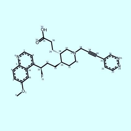 COc1ccc2nccc([C@H](F)CC[C@@H]3CCN(CC#Cc4ccnnc4)C[C@H]3CCC(=O)O)c2c1